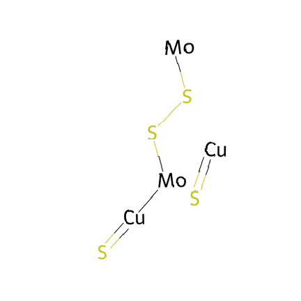 [S]=[Cu].[S]=[Cu][Mo][S][S][Mo]